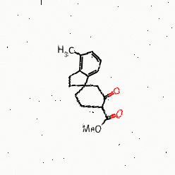 COC(=O)C1CCC2(CCc3c(C)cccc32)CC1=O